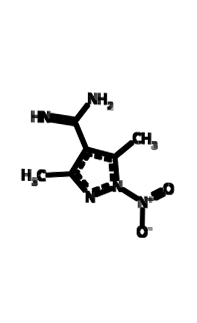 Cc1nn([N+](=O)[O-])c(C)c1C(=N)N